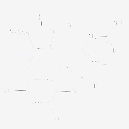 BC(B)(Oc1cc(/C=C2\SC(=O)N(C)C2=O)c(Br)cc1O)c1cnc(N)nc1